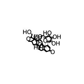 CC1C[C@H]2[C@@H]3CCC4=CC(=O)C=C([C@@H]5O[C@H](CO)[C@H](O)[C@H](O)[C@H]5O)[C@]4(C)[C@@]3(F)CC[C@]2(C)[C@@]1(O)C(=O)CO